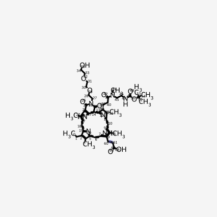 CCC1=C(C)c2cc3[nH]c(cc4nc(c5c6[nH]c(cc1n2)c(C)c6C(=O)N(CCOCCOCCO)C5=O)[C@@H](CCC(=O)N(C)CCNC(=O)OC(C)(C)C)[C@@H]4C)c(C)c3/C=C/C(=O)O